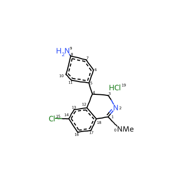 CNC1=NCC(c2ccc(N)cc2)c2cc(Cl)ccc21.Cl